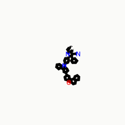 N#Cc1c(-c2ccccc2)c(-c2ccc(-n3c4ccccc4c4cc(-c5ccc6oc7ccc8ccccc8c7c6c5)ccc43)cc2)nc2ccccc12